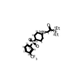 CCN(CC)C(=O)CNC1CCC(S(=O)(=O)c2cccc(C(F)(F)F)c2)CC1